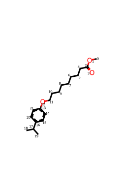 COC(=O)CCCCCCCCOc1ccc(C(C)C)cc1